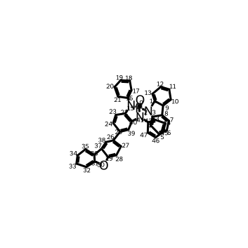 O=P1(n2c3ccccc3c3ccccc32)N(c2ccccc2)c2ccc(-c3ccc4oc5ccccc5c4c3)cc2N1c1ccccc1